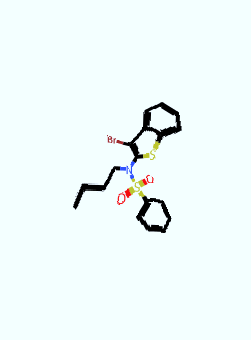 CCCCN(c1sc2ccccc2c1Br)S(=O)(=O)c1ccccc1